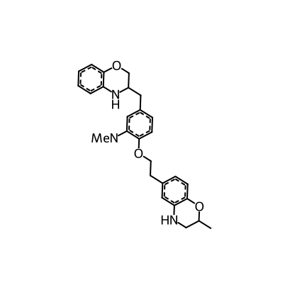 CNc1cc(CC2COc3ccccc3N2)ccc1OCCc1ccc2c(c1)NCC(C)O2